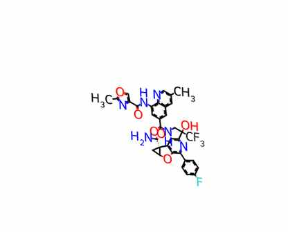 Cc1cnc2c(NC(=O)c3coc(C)n3)cc(C(=O)NCC(O)(c3cc4c(c(-c5ccc(F)cc5)n3)OC3C[C@@]43C(N)=O)C(F)(F)F)cc2c1